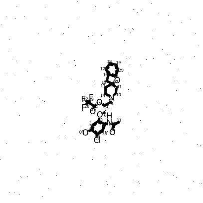 COc1cc(OC[C@@H](CN2CCC3(CC2)Cc2ccccc2O3)OC(=O)C(F)(F)F)c(NC(C)=O)cc1Cl